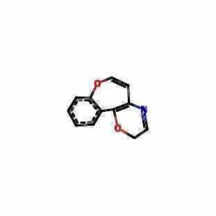 C1=CC2=C(OCC=N2)c2ccccc2O1